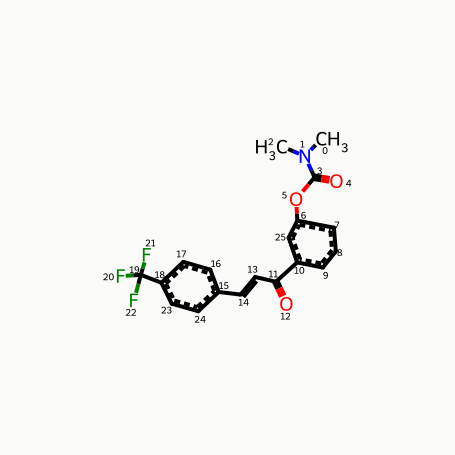 CN(C)C(=O)Oc1cccc(C(=O)C=Cc2ccc(C(F)(F)F)cc2)c1